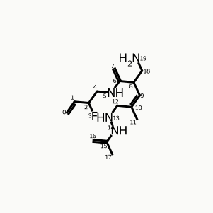 C=CC(F)CNC(=C)C(/C=C(/C)CNNC(=C)C)CN